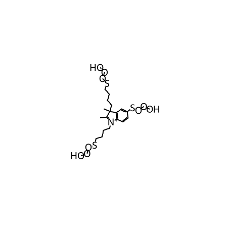 CC1=[N+](CCCCSOOO)c2ccc(SOOO)cc2C1(C)CCCCSOOO